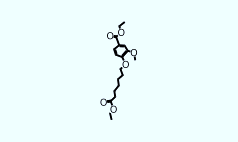 CCOC(=O)CCCCCCOc1ccc(C(=O)OCC)cc1OC